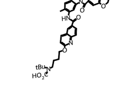 Cc1ccc(NC(=O)c2ccc3c(c2)OCCO3)cc1NC(=O)c1ccc2nc(OCCCCN(C(=O)O)C(C)(C)C)ccc2c1